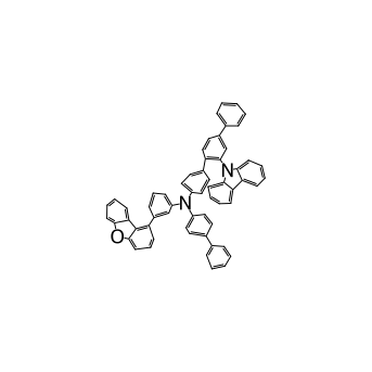 c1ccc(-c2ccc(N(c3ccc(-c4ccc(-c5ccccc5)cc4-n4c5ccccc5c5ccccc54)cc3)c3cccc(-c4cccc5oc6ccccc6c45)c3)cc2)cc1